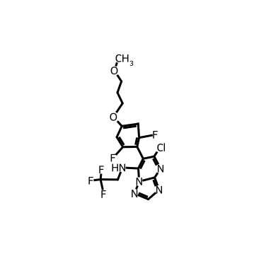 COCCCOc1cc(F)c(-c2c(Cl)nc3ncnn3c2NCC(F)(F)F)c(F)c1